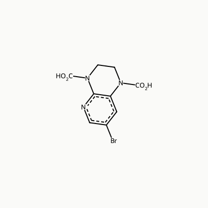 O=C(O)N1CCN(C(=O)O)c2ncc(Br)cc21